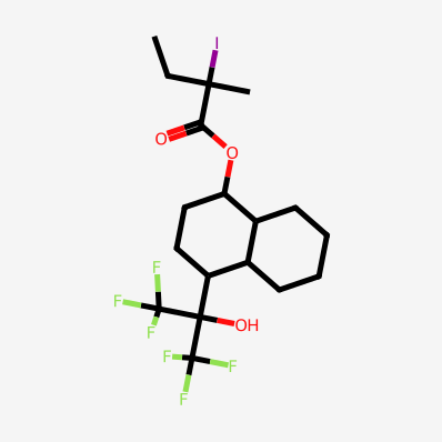 CCC(C)(I)C(=O)OC1CCC(C(O)(C(F)(F)F)C(F)(F)F)C2CCCCC12